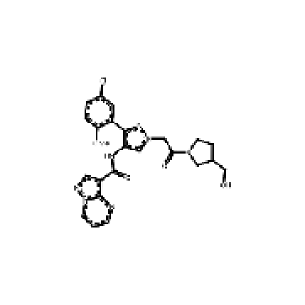 COc1ccc(Cl)cc1-c1nn(CC(=O)N2CCC(CO)C2)cc1NC(=O)c1cnn2cccnc12